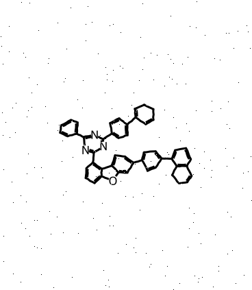 C1=CC(c2ccc(-c3nc(-c4ccccc4)nc(-c4cccc5oc6cc(-c7ccc(-c8cccc9c8CCC=C9)cc7)ccc6c45)n3)cc2)=CCC1